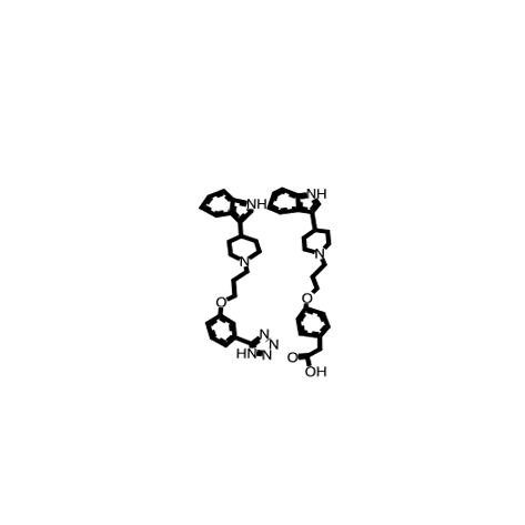 O=C(O)Cc1ccc(OCCCN2CCC(c3c[nH]c4ccccc34)CC2)cc1.c1cc(OCCCN2CCC(c3c[nH]c4ccccc34)CC2)cc(-c2nnn[nH]2)c1